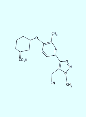 Cc1nc(-c2nnn(C)c2CC#N)ccc1OC1CCC[C@H](C(=O)O)C1